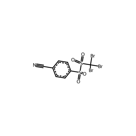 N#Cc1ccc(S(=O)(=O)S(=O)(=O)C(Br)(Br)Br)cc1